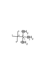 BS(B)(B)C(C)(C)C